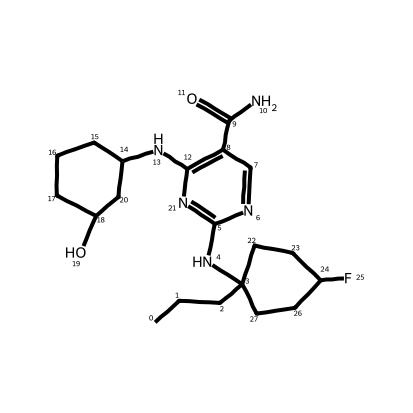 CCCC1(Nc2ncc(C(N)=O)c(NC3CCCC(O)C3)n2)CCC(F)CC1